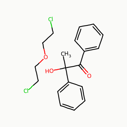 CC(O)(C(=O)c1ccccc1)c1ccccc1.ClCCOCCCl